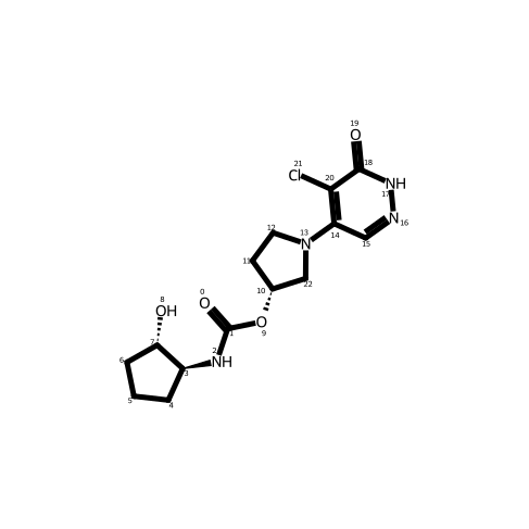 O=C(N[C@H]1CCC[C@@H]1O)O[C@@H]1CCN(c2cn[nH]c(=O)c2Cl)C1